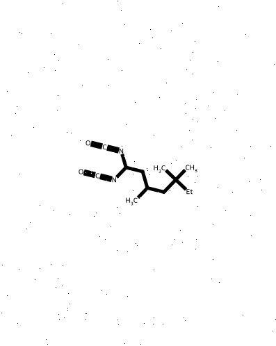 CCC(C)(C)CC(C)CC(N=C=O)N=C=O